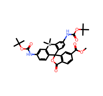 COC(=O)c1ccc2c(c1)C1(OC2=O)c2ccc(NC(=O)OC(C)(C)C)cc2[Si](C)(C)c2cc(NC(=O)OC(C)(C)C)ccc21